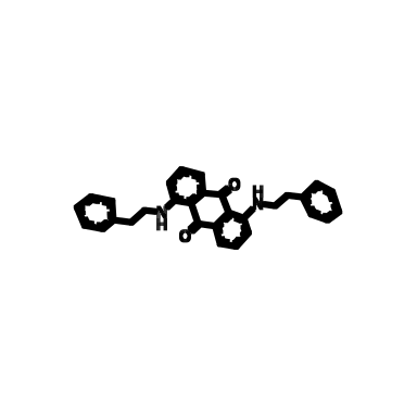 O=C1c2cccc(NCCc3ccccc3)c2C(=O)c2cccc(NCCc3ccccc3)c21